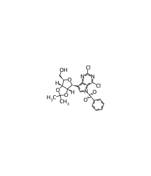 CC1(C)O[C@@H]2[C@H](O1)[C@@H](CO)O[C@H]2c1cn(S(=O)(=O)c2ccccc2)c2c(Cl)nc(Cl)nc12